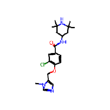 Cn1cncc1COc1ccc(C(=O)NC2CC(C)(C)NC(C)(C)C2)cc1Cl